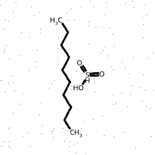 CCCCCCCCCC.O=[SH](=O)O